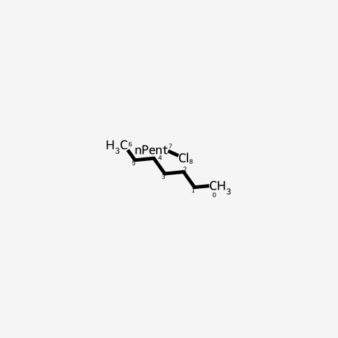 CCCCCCC.CCCCCCl